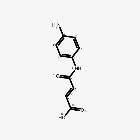 Nc1ccc(NC(=O)/C=C/C(=O)O)cc1